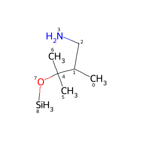 CC(CN)C(C)(C)O[SiH3]